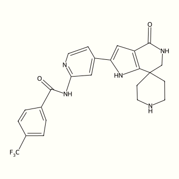 O=C(Nc1cc(-c2cc3c([nH]2)C2(CCNCC2)CNC3=O)ccn1)c1ccc(C(F)(F)F)cc1